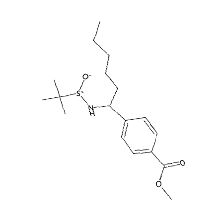 CCCCCC(N[S+]([O-])C(C)(C)C)c1ccc(C(=O)OC)cc1